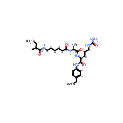 CC(=O)OCc1ccc(NC(=O)[C@H](CCCNC(N)=O)NC(=O)[C@@H](NC(=O)CCCCCNC(=O)C(C)CC(=O)O)C(C)C)cc1